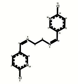 Clc1ccc(/C=N\CC/N=C\c2ccc(Cl)nc2)cn1